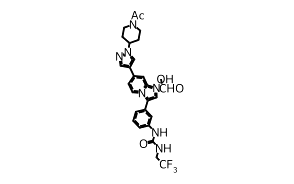 CC(=O)N1CCC(n2cc(-c3ccn4c(-c5cccc(NC(=O)NCC(F)(F)F)c5)cnc4c3)cn2)CC1.O=CO